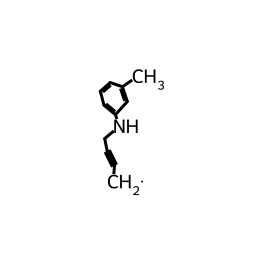 [CH2]C#CCNc1cccc(C)c1